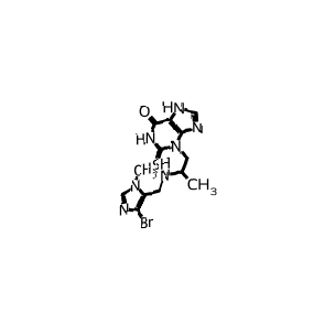 CC(Cn1c(=S)[nH]c(=O)c2[nH]cnc21)NCc1c(Br)ncn1C